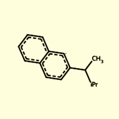 CC(C)C(C)c1[c]c2ccccc2cc1